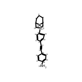 CN1C2CCCC1CN(c1ccc(C#Cc3ccc(N)cc3)cc1)C2